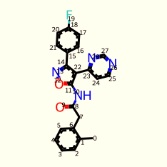 Cc1ccccc1CC(=O)Nc1onc(-c2ccc(F)cc2)c1-c1ccncn1